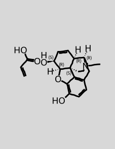 C=CC(=O)O.CN1CC[C@]23c4c5ccc(O)c4O[C@H]2[C@@H](O)C=C[C@H]3[C@H]1C5